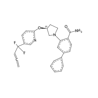 C=C=CC(F)(F)c1ccc(O[C@H]2CCN(c3cc(-c4ccccc4)ccc3C(N)=O)C2)nc1